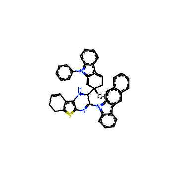 CC1(C2Nc3c(sc4c3C=CCC4)N=C2n2c3ccccc3c3cc4ccccc4cc32)C=c2c(c3ccccc3n2-c2ccccc2)=CC1